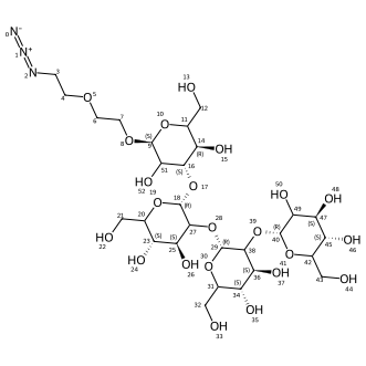 [N-]=[N+]=NCCOCCO[C@H]1OC(CO)[C@@H](O)[C@H](O[C@H]2OC(CO)[C@@H](O)[C@H](O)C2O[C@H]2OC(CO)[C@@H](O)[C@H](O)C2O[C@H]2OC(CO)[C@@H](O)[C@H](O)C2O)C1O